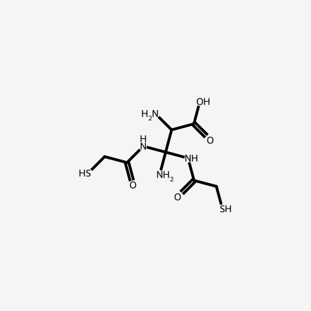 NC(C(=O)O)C(N)(NC(=O)CS)NC(=O)CS